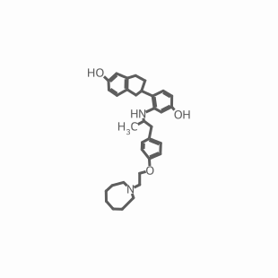 CC(Cc1ccc(OCCN2CCCCCCC2)cc1)Nc1cc(O)ccc1C1CCc2cc(O)ccc2C1